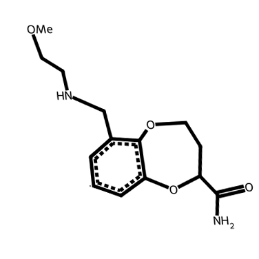 COCCNCc1c[c]cc2c1OCCC(C(N)=O)O2